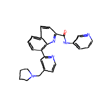 O=C(Nc1cccnc1)c1ccc2cccc(-c3cc(CN4CCCC4)ccn3)c2n1